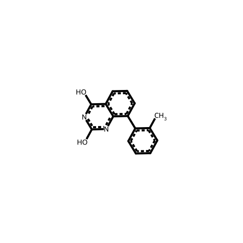 Cc1ccccc1-c1cccc2c(O)nc(O)nc12